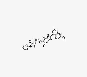 COc1cnc2c(-c3nc4cc(F)c(OC[C@@H](C)OC(=O)Nc5ccncc5)nc4s3)cc(C)cc2n1